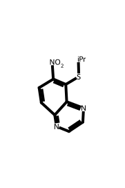 CC(C)Sc1c([N+](=O)[O-])ccc2nccnc12